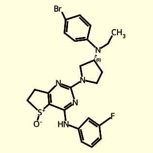 CCN(c1ccc(Br)cc1)[C@@H]1CCN(c2nc3c(c(Nc4cccc(F)c4)n2)[S+]([O-])CC3)C1